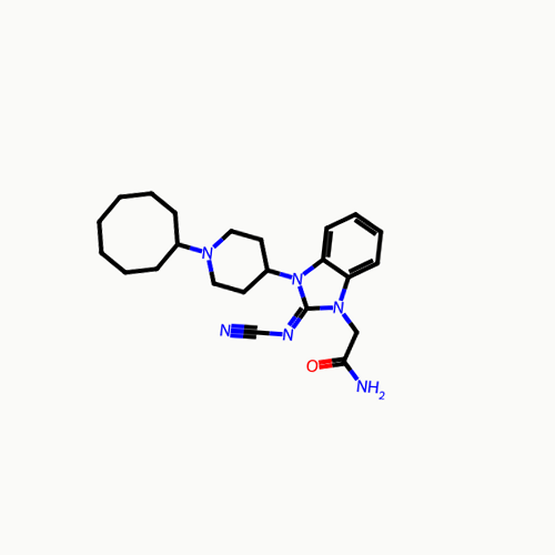 N#C/N=c1/n(CC(N)=O)c2ccccc2n1C1CCN(C2CCCCCCC2)CC1